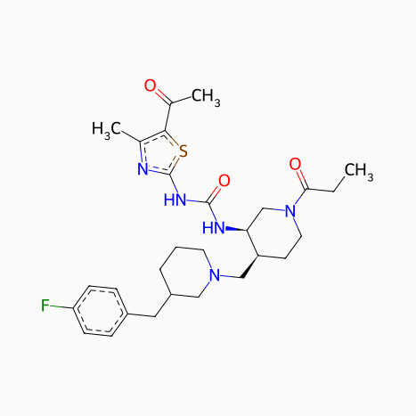 CCC(=O)N1CC[C@@H](CN2CCCC(Cc3ccc(F)cc3)C2)[C@@H](NC(=O)Nc2nc(C)c(C(C)=O)s2)C1